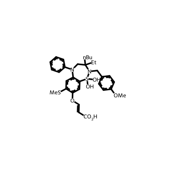 CCCCC1(CC)CN(c2ccccc2)c2cc(SC)c(O/C=C/C(=O)O)cc2S(O)(O)N1Cc1ccc(OC)cc1